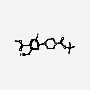 COC(=O)c1cc(F)c(N2CCN(C(=O)OC(C)(C)C)CC2)cc1CO